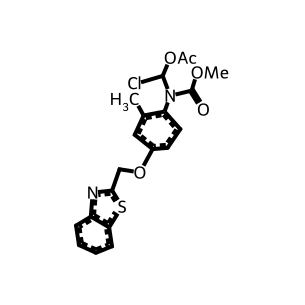 COC(=O)N(c1ccc(OCc2nc3ccccc3s2)cc1C)C(Cl)OC(C)=O